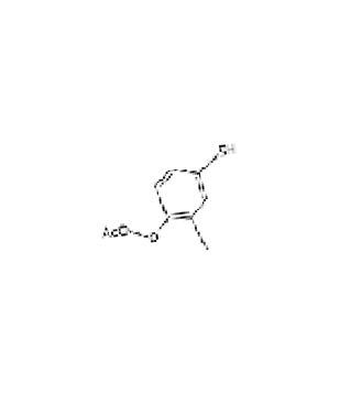 CC(=O)OOc1ccc(S)cc1C